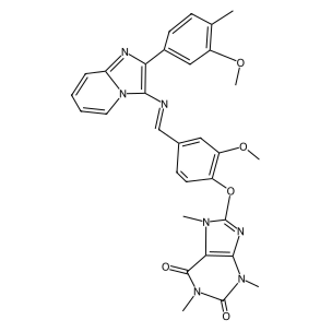 COc1cc(-c2nc3ccccn3c2/N=C/c2ccc(Oc3nc4c(c(=O)n(C)c(=O)n4C)n3C)c(OC)c2)ccc1C